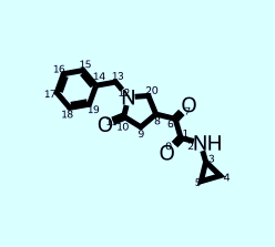 O=C(NC1CC1)C(=O)C1CC(=O)N(Cc2ccccc2)C1